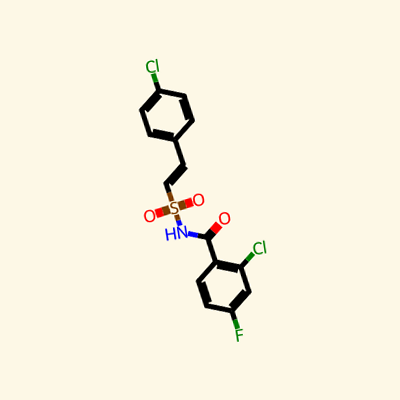 O=C(NS(=O)(=O)C=Cc1ccc(Cl)cc1)c1ccc(F)cc1Cl